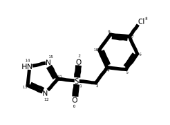 O=S(=O)(Cc1ccc(Cl)cc1)c1nc[nH]n1